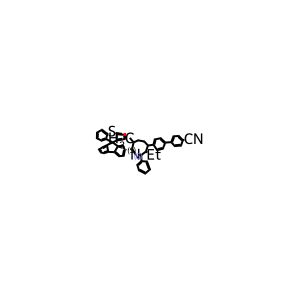 CCC1/C(c2ccccc2)=N\[C@H](c2ccc3c(c2)C2(c4ccccc4Sc4ccccc42)c2ccccc2-3)C(C)CCC1c1ccc(-c2ccc(C#N)cc2)cc1